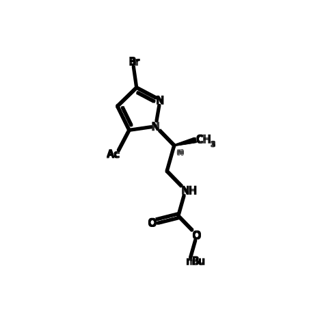 CCCCOC(=O)NC[C@H](C)n1nc(Br)cc1C(C)=O